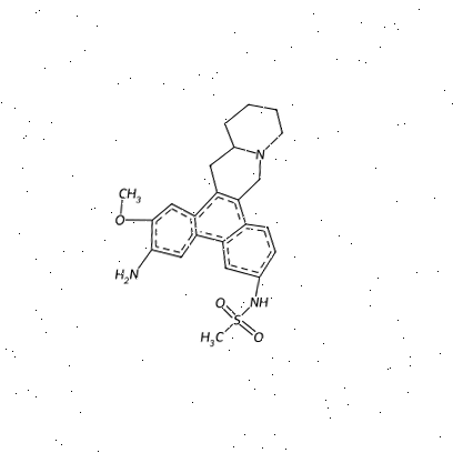 COc1cc2c3c(c4ccc(NS(C)(=O)=O)cc4c2cc1N)CN1CCCCC1C3